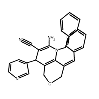 N#CC1=C(N)N(Cc2ccccc2)C2=C(COC/C2=C/c2cccnc2)C1c1cccnc1